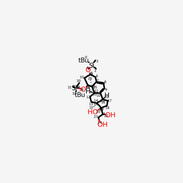 CC(C)(C)[Si](C)(C)O[C@@H]1CC2=CC=C3[C@H](CC[C@@]4(C)[C@H]3CC[C@]4(O)C(O)CO)[C@@]2(C)[C@@H](O[Si](C)(C)C(C)(C)C)C1